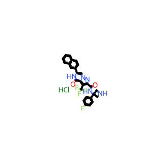 Cl.O=C(NC1(c2ccc(F)cc2)CNC1)c1nn2cc(-c3ccc4ccccc4c3)[nH]c(=O)c2c1C(F)(F)F